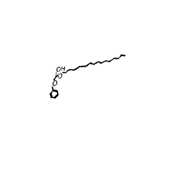 CCCCCCCCCCCCCCCCO[C@@H](CO)COCc1ccccc1